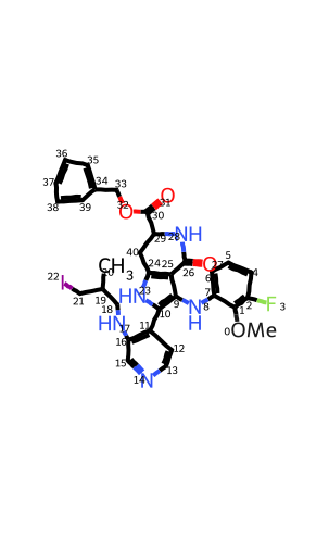 COc1c(F)cccc1Nc1c(-c2ccncc2NCC(C)CI)[nH]c2c1C(=O)NC(C(=O)OCc1ccccc1)C2